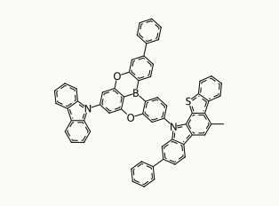 Cc1cc2c3ccc(-c4ccccc4)cc3n(-c3ccc4c(c3)Oc3cc(-n5c6ccccc6c6ccccc65)cc5c3B4c3ccc(-c4ccccc4)cc3O5)c2c2sc3ccccc3c12